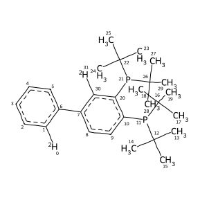 [2H]c1ccccc1-c1ccc(P(C(C)(C)C)C(C)(C)C)c(P(C(C)(C)C)C(C)(C)C)c1[2H]